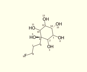 OC1C(O)[C@](O)(CCCF)C(O)C(O)[C@@H]1O